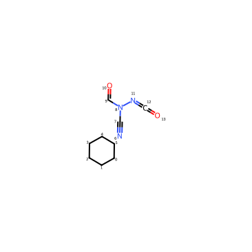 C1CCCCC1.N#CN(C=O)N=C=O